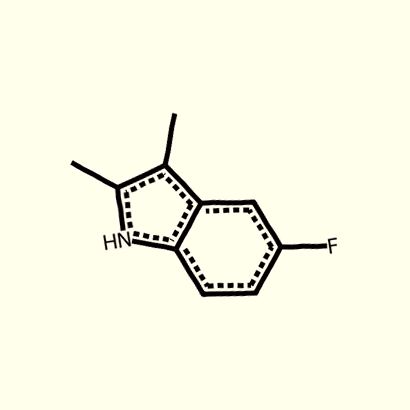 Cc1[nH]c2ccc(F)cc2c1C